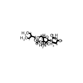 CCC(CC)CO[P@@]1(=O)OC[C@H]2OC(n3ccc(=O)[nH]c3=O)[C@](C)(N)[C@@H]2O1